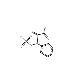 C=C(C(=O)O)C(CS(=O)(=O)O)c1ccccc1